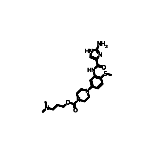 CSc1ccc(N2CCN(C(=O)OCCCN(C)C)CC2)cc1NC(=O)c1c[nH]c(N)n1